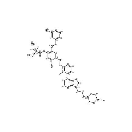 Cc1c(COc2cc(OCc3cncc(C#N)c3)c(CN[C@@](C)(CO)C(=O)O)cc2Cl)cccc1-c1cccc2c1CCN2CCCN1CCC(F)CC1